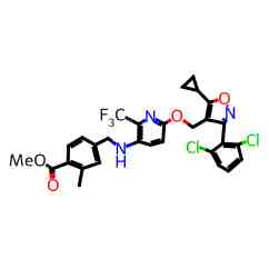 COC(=O)c1ccc(CNc2ccc(OCc3c(-c4c(Cl)cccc4Cl)noc3C3CC3)nc2C(F)(F)F)cc1C